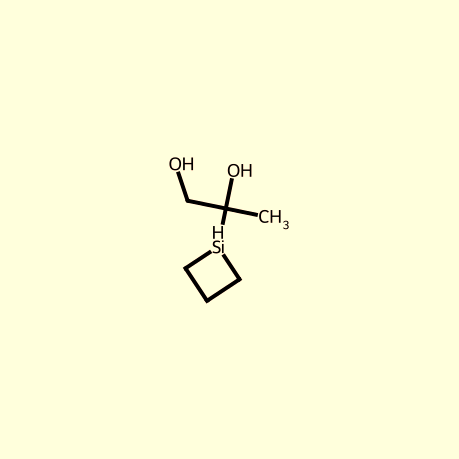 CC(O)(CO)[SiH]1CCC1